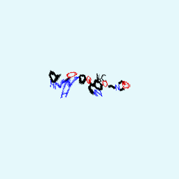 [C-]#[N+]c1cc2c(Oc3ccc(NC(=O)Nc4ccccc4)cc3)ccnc2cc1OCCCN1CCOCC1